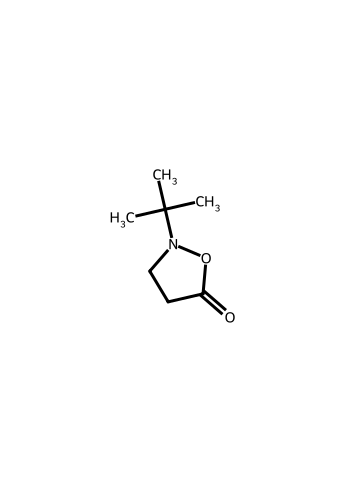 CC(C)(C)N1CCC(=O)O1